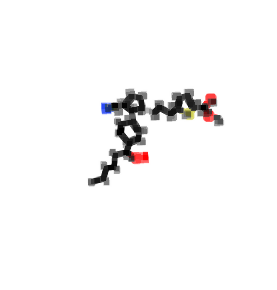 CCCCCC(O)c1ccc(C2C(C#N)=CC[C@@H]2CCCc2ccc(C(=O)OC)s2)cc1